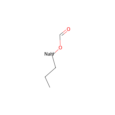 CCCCOC=O.[NaH]